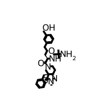 CN1N=C2CCN(C(=O)[C@@H](CCCc3cccc(CO)c3)NC(=O)C(C)(C)N)C[C@@]2(Cc2ccccc2)C1=O